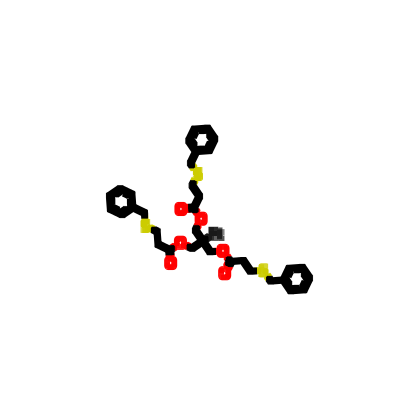 CCC(COC(=O)CCSCc1ccccc1)(COC(=O)CCSCc1ccccc1)COC(=O)CCSCc1ccccc1